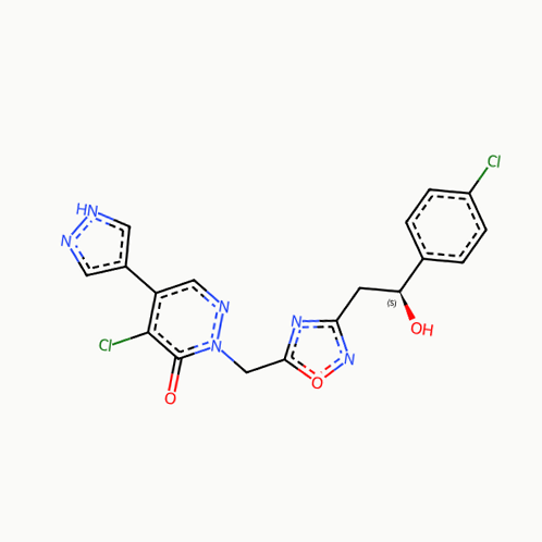 O=c1c(Cl)c(-c2cn[nH]c2)cnn1Cc1nc(C[C@H](O)c2ccc(Cl)cc2)no1